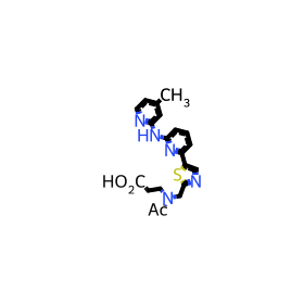 CC(=O)N(CCC(=O)O)Cc1ncc(-c2cccc(Nc3cc(C)ccn3)n2)s1